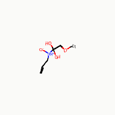 C=CC[NH+]([O-])C(O)(O)COCC